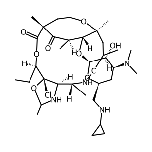 CC[C@H]1OC(=O)[C@]2(C)CCO[C@@](C)(C[C@@H](C)CN[C@H](C)[C@H]3NC(C)O[C@@]31Cl)[C@H](O[C@@H]1O[C@H](CNC3CC3)C[C@H](N(C)C)[C@H]1O)[C@@H](C)C2=O